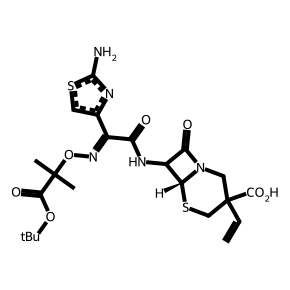 C=CC1(C(=O)O)CS[C@@H]2C(NC(=O)C(=NOC(C)(C)C(=O)OC(C)(C)C)c3csc(N)n3)C(=O)N2C1